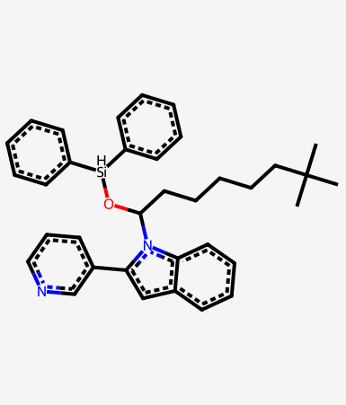 CC(C)(C)CCCCCC(O[SiH](c1ccccc1)c1ccccc1)n1c(-c2cccnc2)cc2ccccc21